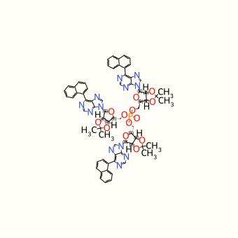 CC1(C)O[C@@H]2[C@H](O1)[C@@H](COP(=O)(OC[C@H]1O[C@@H](n3cnc4c(-c5cccc6ccccc56)ncnc43)[C@@H]3OC(C)(C)O[C@@H]31)OC[C@H]1O[C@@H](n3cnc4c(-c5cccc6ccccc56)ncnc43)[C@@H]3OC(C)(C)O[C@@H]31)O[C@H]2n1cnc2c(-c3cccc4ccccc34)ncnc21